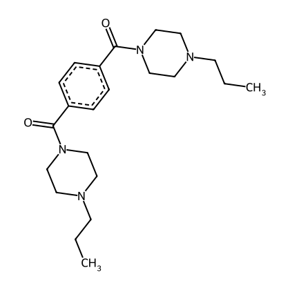 CCCN1CCN(C(=O)c2ccc(C(=O)N3CCN(CCC)CC3)cc2)CC1